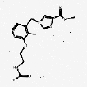 CNC(=O)c1cn(Cc2cccc(OCCNC(=O)O)c2C)cn1